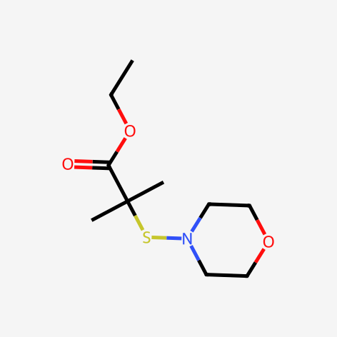 CCOC(=O)C(C)(C)SN1CCOCC1